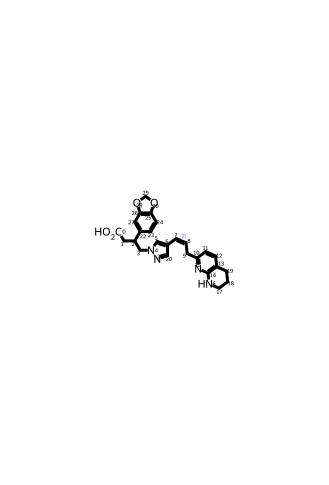 O=C(O)CC(Cn1cc(/C=C\Cc2ccc3c(n2)NCCC3)cn1)c1ccc2c(c1)OCO2